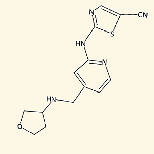 N#Cc1cnc(Nc2cc(CNC3CCOC3)ccn2)s1